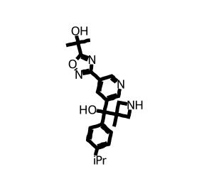 CC(C)c1ccc(C(O)(c2cncc(-c3noc(C(C)(C)O)n3)c2)C2(C)CNC2)cc1